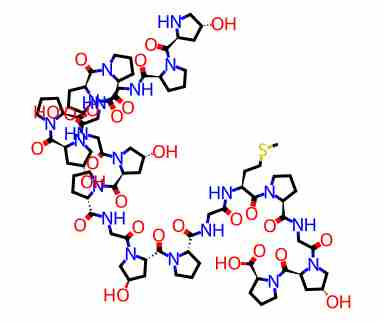 CSCC[C@H](NC(=O)CNC(=O)[C@@H]1CCCN1C(=O)[C@@H]1C[C@@H](O)CN1C(=O)CNC(=O)[C@@H]1CCCN1C(=O)[C@@H]1C[C@@H](O)CN1C(=O)CNC(=O)[C@@H]1CCCN1C(=O)[C@@H]1C[C@@H](O)CN1C(=O)CNC(=O)[C@@H]1CCCN1C(=O)[C@@H]1C[C@@H](O)CN1C(=O)CNC(=O)[C@@H]1CCCN1C(=O)[C@@H]1C[C@@H](O)CN1)C(=O)N1CCC[C@H]1C(=O)NCC(=O)N1C[C@H](O)C[C@H]1C(=O)N1CCC[C@H]1C(=O)O